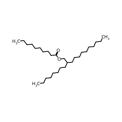 CCCCCCCCCCC(CCCCCCCC)COC(=O)CCCCCCCCC